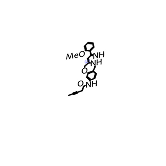 CC#CCC(=O)Nc1ccc2c(c1)OC/C(=C/C(=N)c1ccccc1OC)NC2